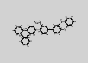 CNc1cc(-c2ccc3c(c2)Oc2ccccc2S3)ccc1-c1ccc2c3ccccc3c3ccccc3c2c1